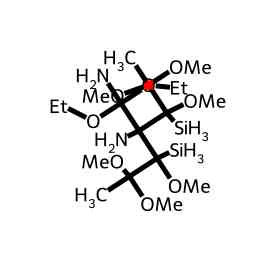 CCOC(N)(OCC)C(N)(C([SiH3])(OC)C(C)(OC)OC)C([SiH3])(OC)C(C)(OC)OC